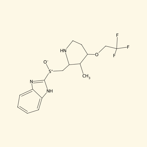 CC1C(C[S+]([O-])c2nc3ccccc3[nH]2)NCCC1OCC(F)(F)F